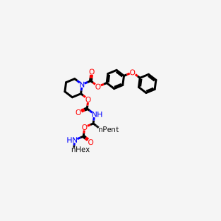 CCCCCCNC(=O)OC(CCCCC)NC(=O)OC1CCCCN1C(=O)Oc1ccc(Oc2ccccc2)cc1